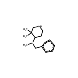 CN(Cc1ccccc1)C1CCNCC1(C)C